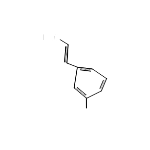 C/C=C/c1cccc(I)c1